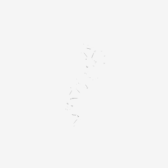 CC(C)C[C@@H](C(=O)N1CCN(c2ccc(S(=O)(=O)Nc3nccs3)cc2)C(=O)C1)N1CCCc2cc(Cl)ccc21